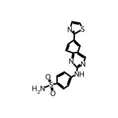 NS(=O)(=O)c1ccc(Nc2ncc3cc(-c4nccs4)ccc3n2)cc1